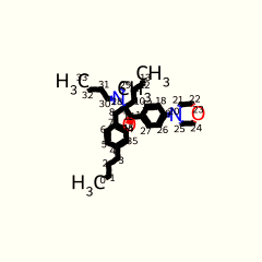 CCCCc1ccc(CC(CCCC)(C(=O)c2ccc(N3CCOCC3)cc2)N(C)CCCC)cc1